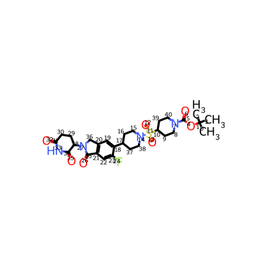 CC(C)(C)OC(=O)N1CCC(S(=O)(=O)N2CCC(c3cc4c(cc3F)C(=O)N(C3CCC(=O)NC3=O)C4)CC2)CC1